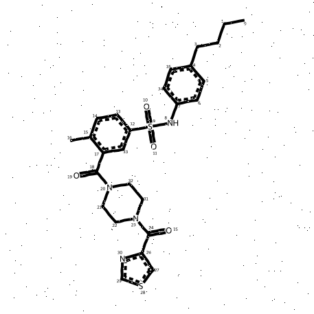 CCCCc1ccc(NS(=O)(=O)c2ccc(C)c(C(=O)N3CCN(C(=O)c4cscn4)CC3)c2)cc1